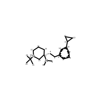 CN(C)[C@]1(CCc2cccc(C3CC3)c2)CCCN(C(C)(C)C)C1